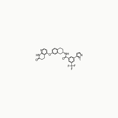 Cn1nccc1-c1cc(C(=O)N[C@@H]2CCc3ccc(Oc4ccnc5c4CCC(=O)N5)cc3C2)cc(C(F)(F)F)c1